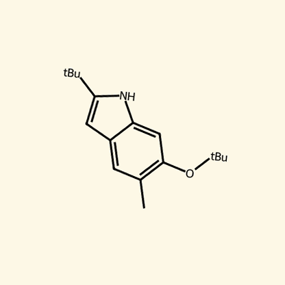 Cc1cc2cc(C(C)(C)C)[nH]c2cc1OC(C)(C)C